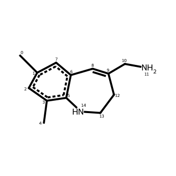 Cc1cc(C)c2c(c1)C=C(CN)CCN2